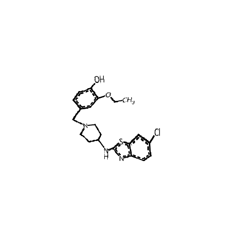 CCOc1cc(CN2CCC(Nc3nc4ccc(Cl)cc4s3)CC2)ccc1O